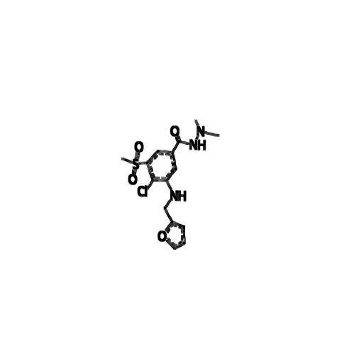 CN(C)NC(=O)c1cc(NCc2ccco2)c(Cl)c(S(C)(=O)=O)c1